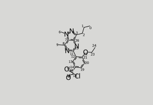 CCCc1nn(C)c2c(C)nc(-c3cc(S(=O)(=O)Cl)ccc3OCC)nc12